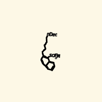 CCCCCCCCCCCCCCCc1ccc2ccccc2c1S(=O)(=O)O.[Fe]